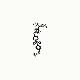 COc1ccc(S(=O)(=O)N2CCC(Cc3nc(C(C)C)no3)CC2)cc1